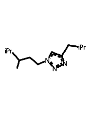 CC(C)Cc1cn(CCC(C)C(C)C)nn1